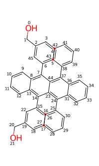 OCc1cccc(-c2c3ccccc3c(-c3cccc(CO)c3)c3c(-c4ccccc4)c4ccccc4c(-c4ccccc4)c23)c1